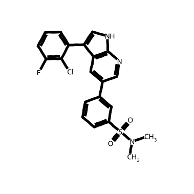 CN(C)S(=O)(=O)c1cccc(-c2cnc3[nH]cc(-c4cccc(F)c4Cl)c3c2)c1